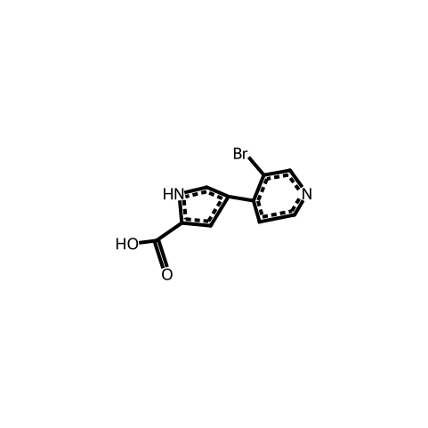 O=C(O)c1cc(-c2ccncc2Br)c[nH]1